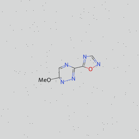 COc1cnc(-c2ncno2)nn1